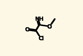 COC(=N)C(=O)Cl